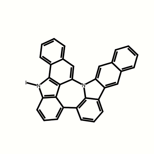 In1c2cccc3c4cccc5c6cc7ccccc7cc6n(c6cc7ccccc7c1c6c32)c45